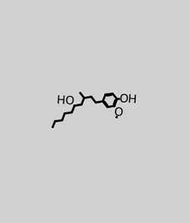 CCCCCC(O)CC(C)CCc1ccc(O)c(OC)c1